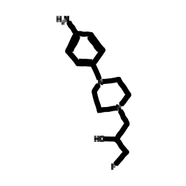 Nc1ccc(N2CCN(CC(O)CF)CC2)cc1